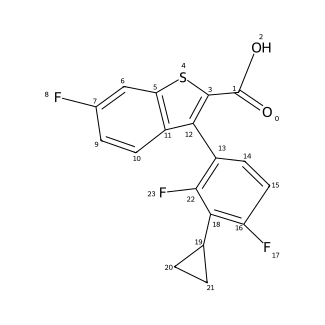 O=C(O)c1sc2cc(F)ccc2c1-c1ccc(F)c(C2CC2)c1F